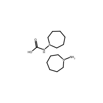 NN1CCCCCC1.O=C(O)NN1CCCCCC1